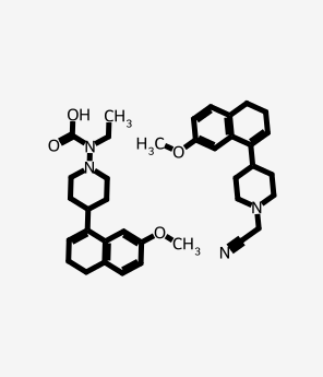 CCN(C(=O)O)N1CCC(C2=CCCc3ccc(OC)cc32)CC1.COc1ccc2c(c1)C(C1CCN(CC#N)CC1)=CCC2